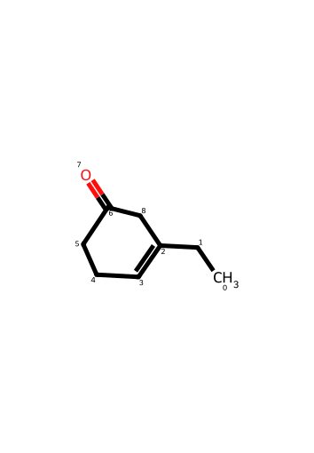 CCC1=CCCC(=O)C1